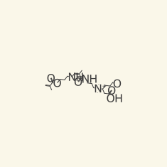 C=C(C)C(=O)OCCCNC=C(C)C(=O)NCCC[N+](C)(C)C(CCC=O)CC(=O)O